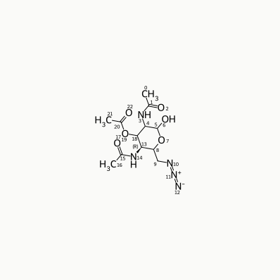 CC(=O)NC1C(O)OC(CN=[N+]=[N-])[C@@H](NC(C)=O)C1OC(C)=O